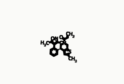 C=CC(=O)N1Cc2sc(C)cc2[C@H](c2ccccc2-c2c(C)noc2C)C1